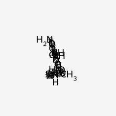 COc1ccc(NC(=O)C2CN3C=CSC3=N2)cc1C(=O)NCCOCCOCCNC(=O)NCCOCCOCCN